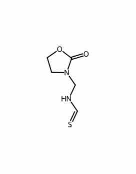 O=C1OCCN1CNC=S